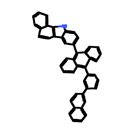 c1cc(-c2ccc3ccccc3c2)cc(-c2c3ccccc3c(-c3ccc4[nH]c5c6ccccc6ccc5c4c3)c3ccccc23)c1